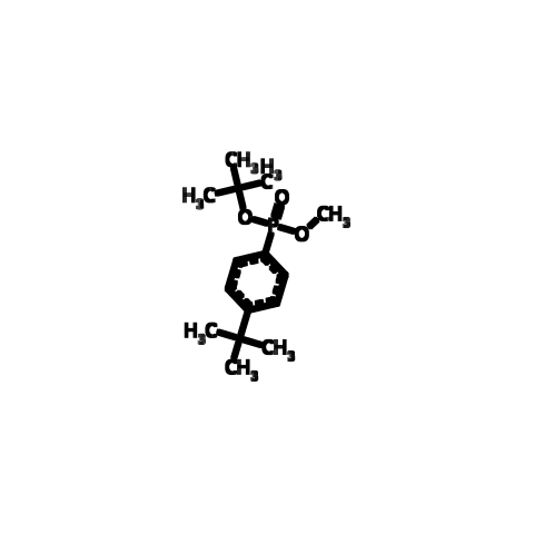 COP(=O)(OC(C)(C)C)c1ccc(C(C)(C)C)cc1